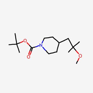 COC(C)(C)CC1CCN(C(=O)OC(C)(C)C)CC1